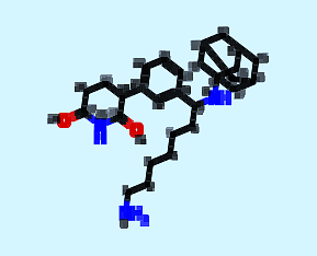 NCCCCCCC(NC12CC3CC(CC(C3)C1)C2)c1cccc(C2CCC(=O)NC2=O)c1